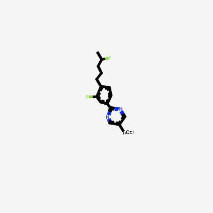 CCCCCCCCc1cnc(-c2ccc(CCCC(C)F)c(F)c2)nc1